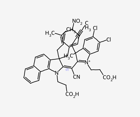 CC#CCC1(C)C(/C(C#N)=C2/N(CCC(=O)O)c3c(ccc4ccccc34)C2(CC=C(C)C)CC2=CCC([N+](=O)[O-])C=C2)=[N+](CCC(=O)O)c2cc(Cl)c(Cl)cc21